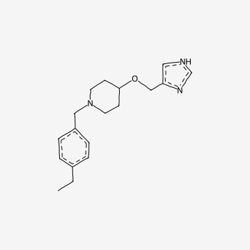 CCc1ccc(CN2CCC(OCc3c[nH]cn3)CC2)cc1